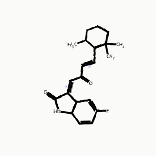 CC1CCCC(C)(C)C1/C=C/C(=O)/C=C1/C(=O)NC2C=CC(F)=CC12